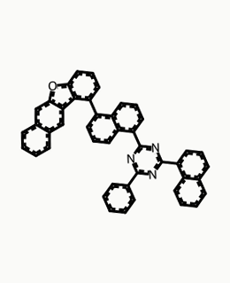 c1ccc(-c2nc(-c3cccc4ccccc34)nc(-c3cccc4c(-c5cccc6oc7cc8ccccc8cc7c56)cccc34)n2)cc1